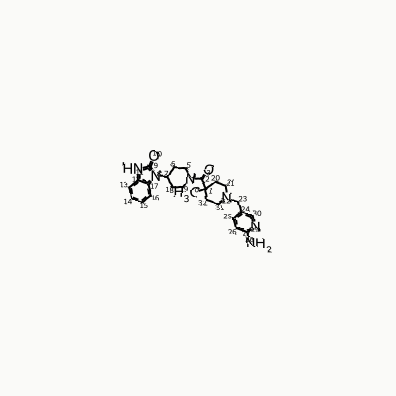 CC1(C(=O)N2CCC(n3c(=O)[nH]c4ccccc43)CC2)CCN(Cc2ccc(N)nc2)CC1